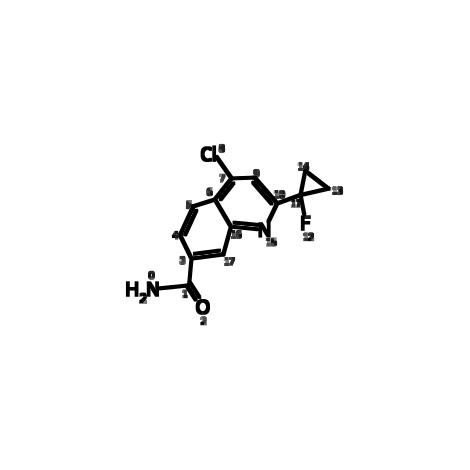 NC(=O)c1ccc2c(Cl)cc(C3(F)CC3)nc2c1